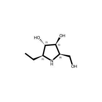 CC[C@@H]1N[C@H](CO)[C@H](O)[C@H]1O